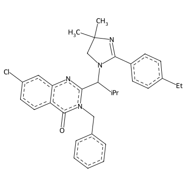 CCc1ccc(C2=NC(C)(C)CN2C(c2nc3cc(Cl)ccc3c(=O)n2Cc2ccccc2)C(C)C)cc1